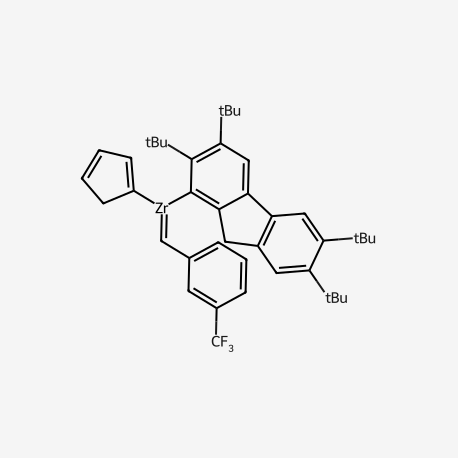 CC(C)(C)c1cc2c(cc1C(C)(C)C)-c1cc(C(C)(C)C)c(C(C)(C)C)[c](/[Zr](=[CH]\c3cccc(C(F)(F)F)c3)[C]3=CC=CC3)c1C2